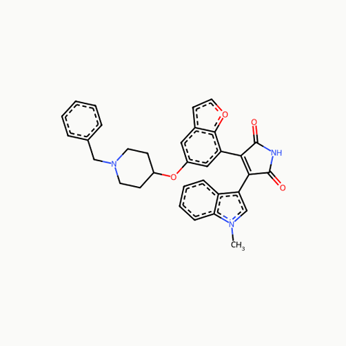 Cn1cc(C2=C(c3cc(OC4CCN(Cc5ccccc5)CC4)cc4ccoc34)C(=O)NC2=O)c2ccccc21